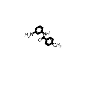 Cc1ccc(C(=O)Nc2cccc(N)c2)cc1